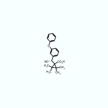 CC1(C)C(C)(C)C1(C(=O)O)[C@H](C#N)c1cccc(Oc2ccccc2)c1